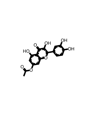 CC(=O)Oc1cc(O)c2c(=O)c(O)c(-c3ccc(O)c(O)c3)oc2c1